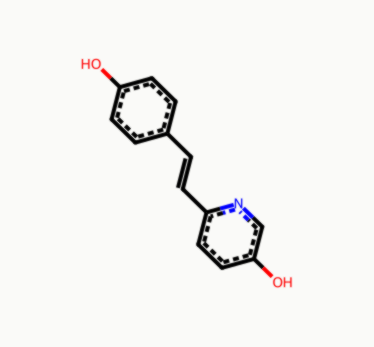 Oc1ccc(C=Cc2ccc(O)cn2)cc1